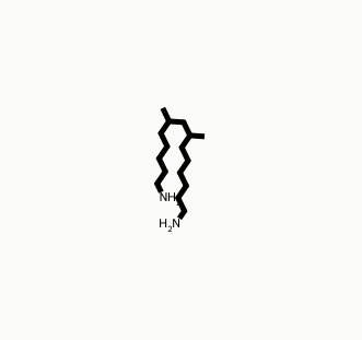 CC(CCCCCN)CC(C)CCCCCCN